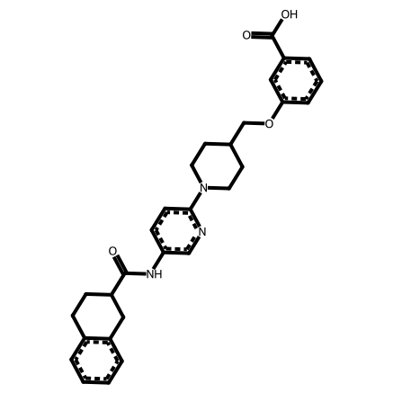 O=C(O)c1cccc(OCC2CCN(c3ccc(NC(=O)C4CCc5ccccc5C4)cn3)CC2)c1